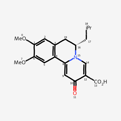 COc1cc2c(cc1OC)-c1cc(=O)c(C(=O)O)cn1[C@@H](CC(C)C)C2